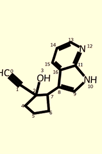 C#CC1(O)CCCC1c1c[nH]c2ncccc12